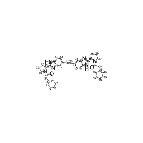 O=C(Cc1ccccc1)N1CCC[C@H]1c1nc2cc(C#Cc3ccc4[nH]c([C@@H]5CCCN5C(=O)Cc5ccccc5)nc4c3)ccc2[nH]1